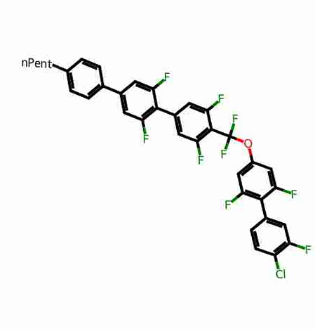 CCCCCc1ccc(-c2cc(F)c(-c3cc(F)c(C(F)(F)Oc4cc(F)c(-c5ccc(Cl)c(F)c5)c(F)c4)c(F)c3)c(F)c2)cc1